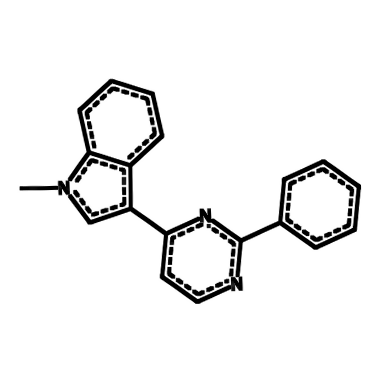 Cn1cc(-c2ccnc(-c3ccccc3)n2)c2ccccc21